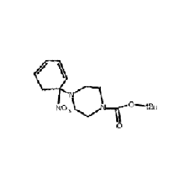 CC(C)(C)OC(=O)N1CCN(C2([N+](=O)[O-])C=CC=CC2)CC1